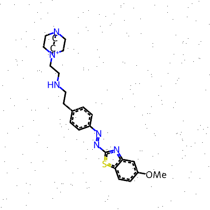 COc1ccc2sc(N=Nc3ccc(CCNCC[N+]45CCN(CC4)CC5)cc3)nc2c1